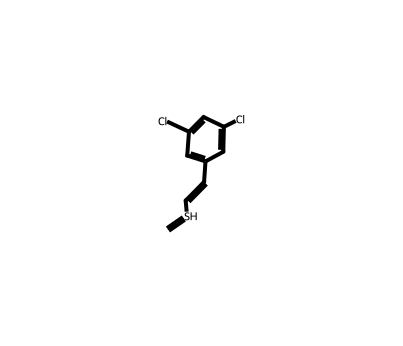 C=[SH]/C=C/c1cc(Cl)cc(Cl)c1